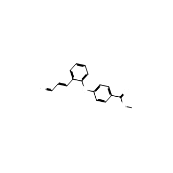 COC(=O)c1ccc(Oc2ccccc2C=CC=O)cc1